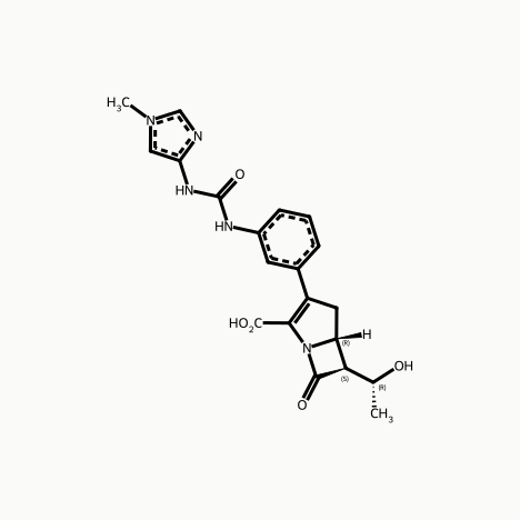 C[C@@H](O)[C@H]1C(=O)N2C(C(=O)O)=C(c3cccc(NC(=O)Nc4cn(C)cn4)c3)C[C@H]12